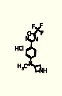 CN(c1ccc(-c2noc(C(F)(F)F)n2)cc1)C1CNC1.Cl